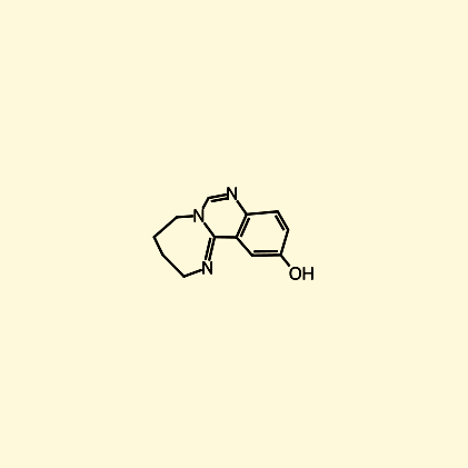 Oc1ccc2c(c1)C1=NCCCCN1C=N2